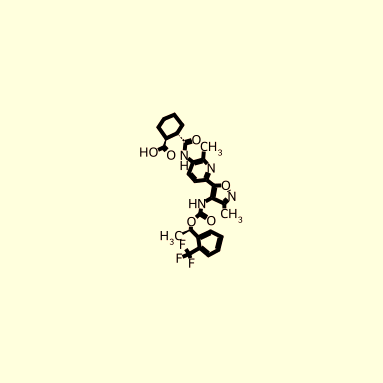 Cc1nc(-c2onc(C)c2NC(=O)O[C@H](C)c2ccccc2C(F)(F)F)ccc1NC(=O)[C@H]1CCCC[C@@H]1C(=O)O